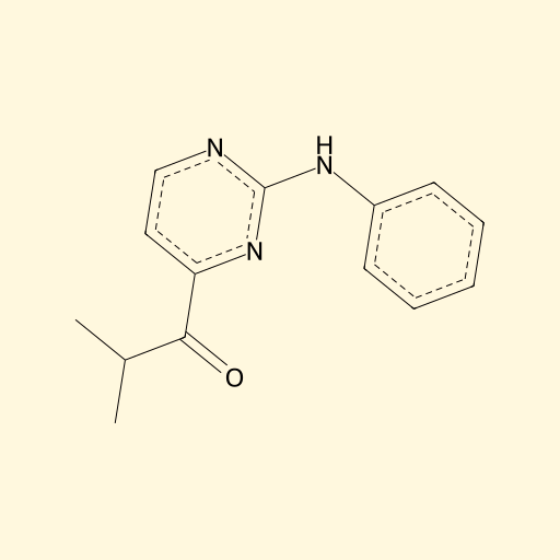 CC(C)C(=O)c1ccnc(Nc2ccccc2)n1